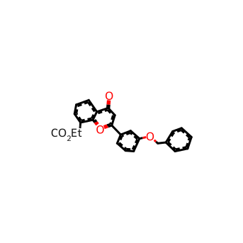 CCOC(=O)c1cccc2c(=O)cc(-c3cccc(OCc4ccccc4)c3)oc12